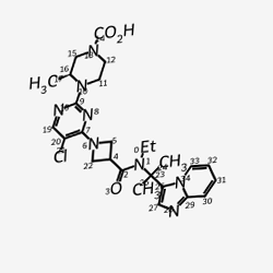 CCN(C(=O)C1CN(c2nc(N3CCN(C(=O)O)C[C@@H]3C)ncc2Cl)C1)C(C)(C)c1cnc2ccccn12